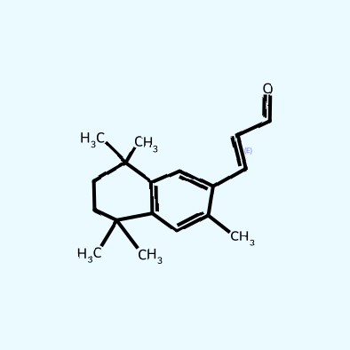 Cc1cc2c(cc1/C=C/C=O)C(C)(C)CCC2(C)C